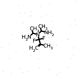 C=C(C)C(F)(F)N(C(C)N)C(C)N